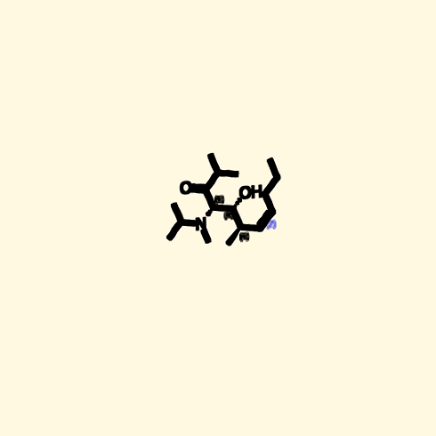 CCC/C=C\[C@@H](C)[C@@H](O)[C@@H](C(=O)C(C)C)N(C)C(C)C